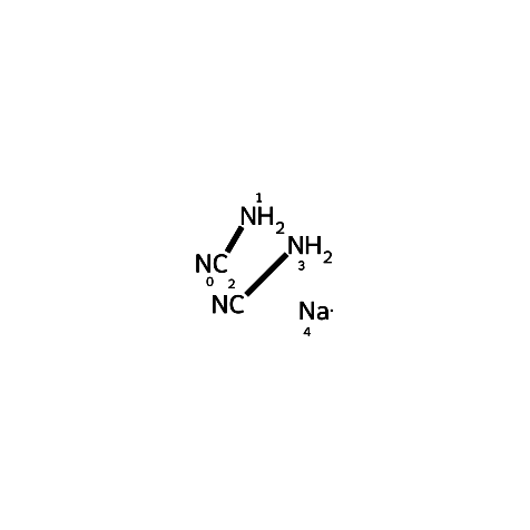 N#CN.N#CN.[Na]